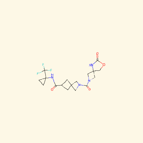 O=C1NC2(CO1)CN(C(=O)N1CC3(CC(C(=O)NC4(C(F)(F)F)CC4)C3)C1)C2